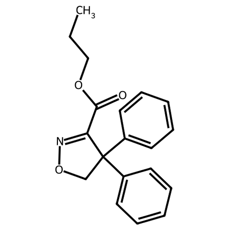 CCCOC(=O)C1=NOCC1(c1ccccc1)c1ccccc1